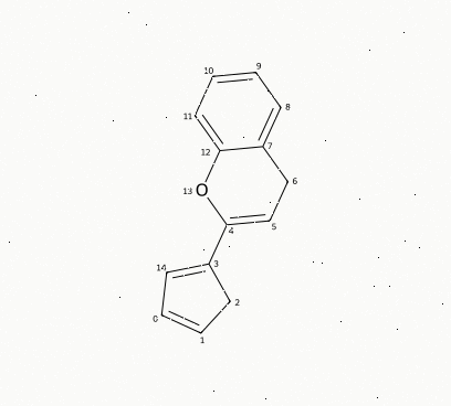 C1=CCC(C2=CCc3ccccc3O2)=C1